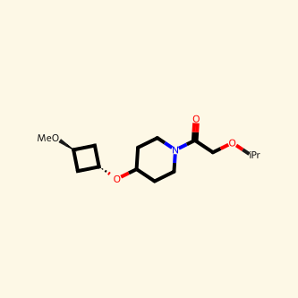 CO[C@H]1C[C@H](OC2CCN(C(=O)COC(C)C)CC2)C1